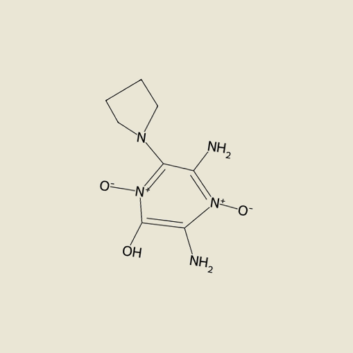 Nc1c(O)[n+]([O-])c(N2CCCC2)c(N)[n+]1[O-]